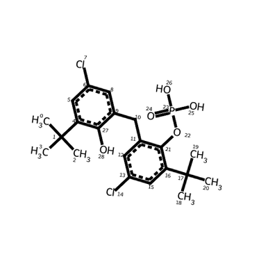 CC(C)(C)c1cc(Cl)cc(Cc2cc(Cl)cc(C(C)(C)C)c2OP(=O)(O)O)c1O